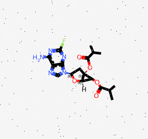 CC(C)C(=O)OC1[C@H]2O[C@@H](n3cnc4c(N)nc(F)nc43)C[C@@]12OC(=O)C(C)C